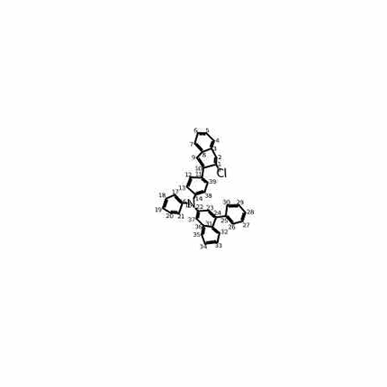 Clc1cc2ccccc2cc1-c1ccc(N(c2ccccc2)c2cc(-c3ccccc3)c3ccccc3c2)cc1